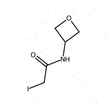 O=C(CI)NC1COC1